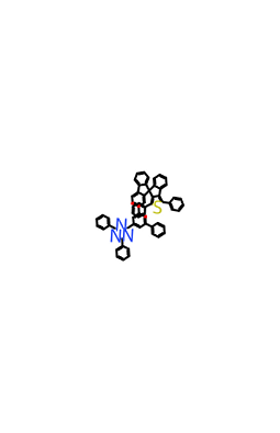 c1ccc(-c2cc(-c3ccc4c(c3)C3(c5ccccc5-4)c4ccccc4-c4c(-c5ccccc5)sc(-c5ccccc5)c43)cc(-c3nc(-c4ccccc4)nc(-c4ccccc4)n3)c2)cc1